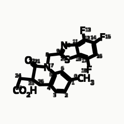 Cc1ccc2c(c1)N(Cc1nc3c(F)c(F)cc(F)c3s1)C(=O)C(CC(=O)O)C2